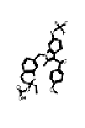 CC[C@@]1(OC(=O)O)CCc2ccc(Cn3c(C)c(C(=O)c4ccc(OC)cc4)c4ccc(OC(F)(F)F)cc43)cc2O1